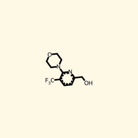 OCc1ccc(C(F)(F)F)c(N2CCOCC2)n1